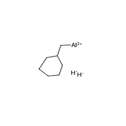 [Al+2][CH2]C1CCCCC1.[H-].[H-]